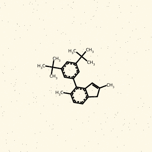 CC1=Cc2c(ccc(C)c2-c2cc(C(C)(C)C)cc(C(C)(C)C)c2)C1